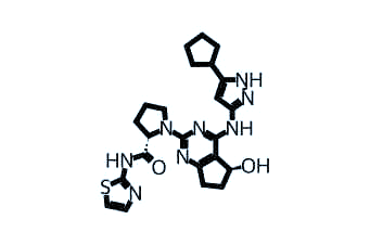 O=C(Nc1nccs1)[C@@H]1CCCN1c1nc2c(c(Nc3cc(C4CCCC4)[nH]n3)n1)[C@@H](O)CC2